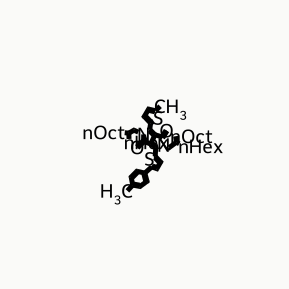 CCCCCCCCC(CCCCCC)CN1C(=O)C2=C(c3ccc(-c4ccc(C)cc4)s3)N(CC(CCCCCC)CCCCCCCC)C(=O)C2=C1c1ccc(C)s1